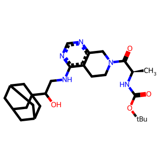 C[C@@H](NC(=O)OC(C)(C)C)C(=O)N1CCc2c(ncnc2NCC(O)C23CC4CC(CC(C4)C2)C3)C1